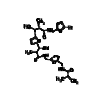 C=C(C)C(=O)NCc1ccc(CNC(=O)C(=C)C(O)c2ccc(C(O)C(=C)C(=O)NCc3ccc(CC)o3)o2)o1